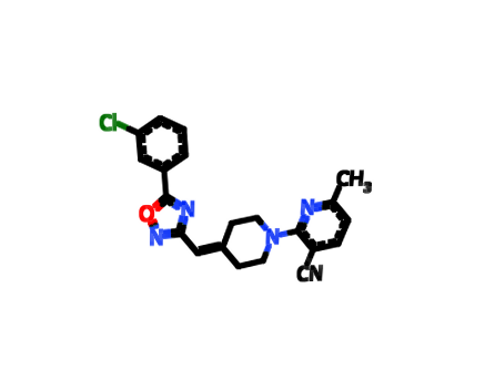 Cc1ccc(C#N)c(N2CCC(=Cc3noc(-c4cccc(Cl)c4)n3)CC2)n1